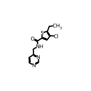 CCc1sc(C(=O)NCc2ccncn2)cc1Cl